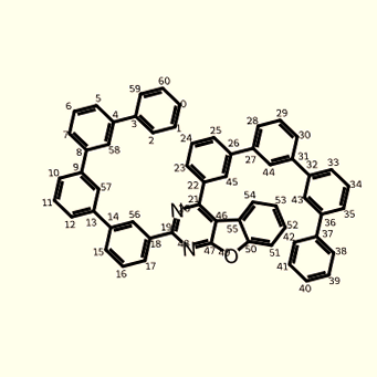 c1ccc(-c2cccc(-c3cccc(-c4cccc(-c5nc(-c6cccc(-c7cccc(-c8cccc(-c9ccccc9)c8)c7)c6)c6c(n5)oc5ccccc56)c4)c3)c2)cc1